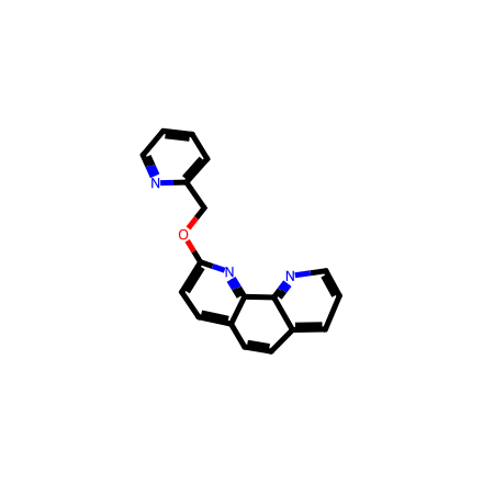 c1ccc(COc2ccc3ccc4cccnc4c3n2)nc1